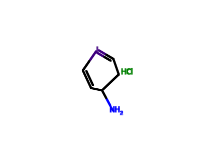 Cl.NC1C=CI=CC1